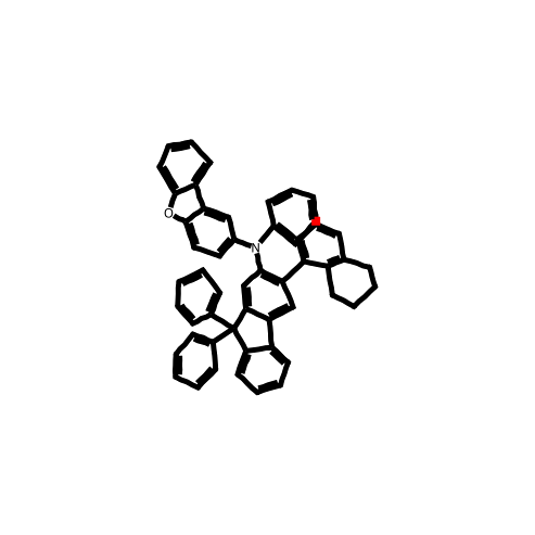 c1ccc(N(c2ccc3oc4ccccc4c3c2)c2cc3c(cc2-c2cccc4c2CCCC4)-c2ccccc2C3(c2ccccc2)c2ccccc2)cc1